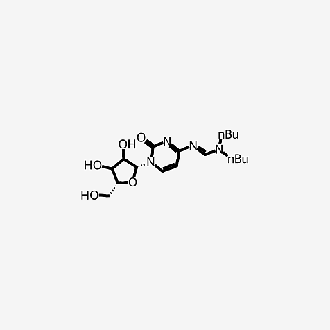 CCCCN(/C=N/c1ccn([C@@H]2O[C@H](CO)C(O)C2O)c(=O)n1)CCCC